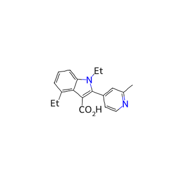 CCc1cccc2c1c(C(=O)O)c(-c1ccnc(C)c1)n2CC